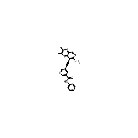 Cc1nc2cnc(N)c(C#Cc3cncc(C(=O)Nc4ccccc4)c3)c2nc1C